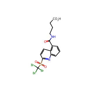 O=C(O)CCCNC(=O)c1cccc2nc(S(=O)(=O)C(Br)(Br)Br)ccc12